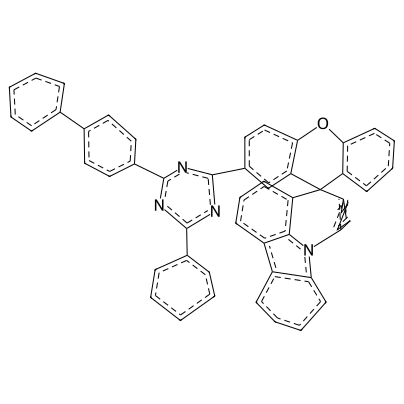 c1ccc(-c2ccc(-c3nc(-c4ccccc4)nc(-c4ccc5c(c4)C4(c6ccccc6O5)c5ccccc5-n5c6ccccc6c6cccc4c65)n3)cc2)cc1